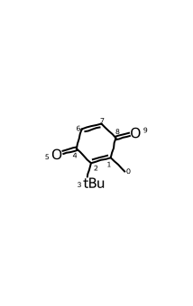 CC1=C(C(C)(C)C)C(=O)C=CC1=O